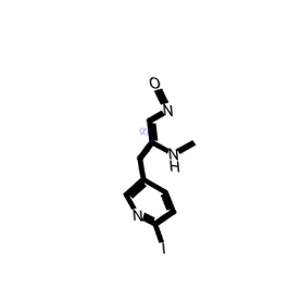 CN/C(=C\N=O)Cc1ccc(I)nc1